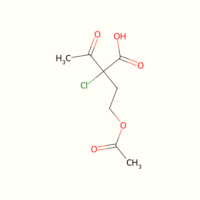 CC(=O)OCCC(Cl)(C(C)=O)C(=O)O